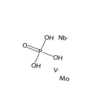 O=P(O)(O)O.[Mo].[Nb].[V]